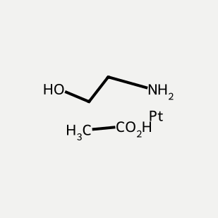 CC(=O)O.NCCO.[Pt]